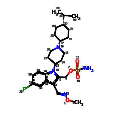 CON=Cc1c(COS(N)(=O)=O)n(C2CCN([C@H]3CC[C@@H](C(C)C)CC3)CC2)c2ccc(F)cc12